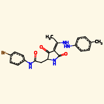 CC(NNc1ccc(C)cc1)=C1C(=O)NC(CC(=O)Nc2ccc(Br)cc2)C1=O